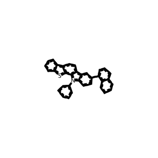 c1ccc(-n2c3ccc(-c4cccc5ccccc45)cc3c3ccc4c5ccccc5sc4c32)cc1